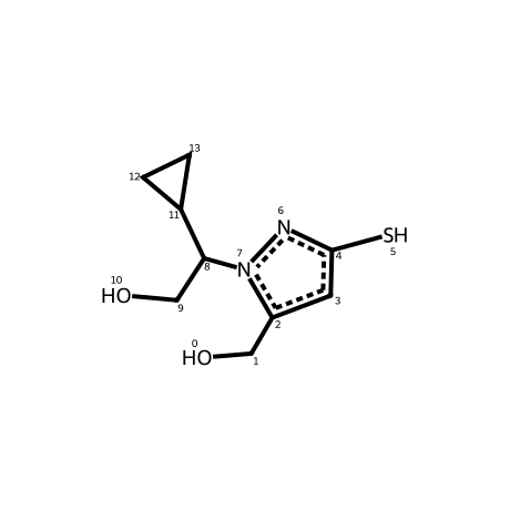 OCc1cc(S)nn1C(CO)C1CC1